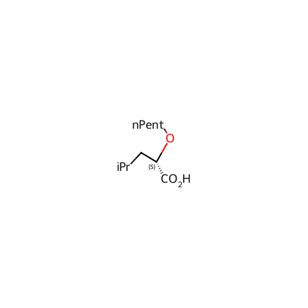 CCCCCO[C@@H](CC(C)C)C(=O)O